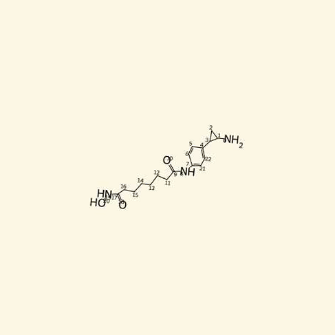 NC1CC1c1ccc(NC(=O)CCCCCCC(=O)NO)cc1